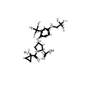 CC1(C(=O)N2C[C@H](Sc3ccc(OCC(F)(F)F)cc3C(F)(F)F)C[C@H]2C(=O)O)CC1